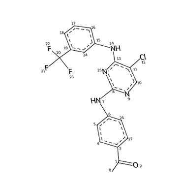 CC(=O)c1ccc(Nc2ncc(Cl)c(Nc3cccc(C(F)(F)F)c3)n2)cc1